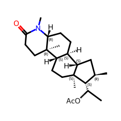 CC(=O)OC(C)[C@H]1[C@H](C)C[C@H]2[C@@H]3CC[C@H]4N(C)C(=O)CC[C@]4(C)[C@H]3CC[C@@]21C